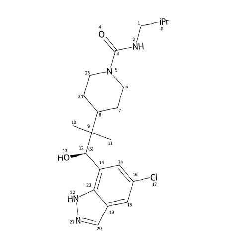 CC(C)CNC(=O)N1CCC(C(C)(C)[C@H](O)c2cc(Cl)cc3cn[nH]c23)CC1